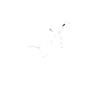 C[C@@]1(c2cc(Cl)cc(Cl)c2)[C@@H](C(=O)O)C1(Cl)Cl